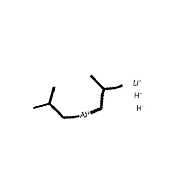 CC(C)[CH2][Al+][CH2]C(C)C.[H-].[H-].[Li+]